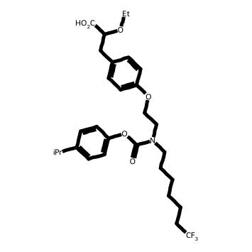 CCOC(Cc1ccc(OCCN(CCCCCCC(F)(F)F)C(=O)Oc2ccc(C(C)C)cc2)cc1)C(=O)O